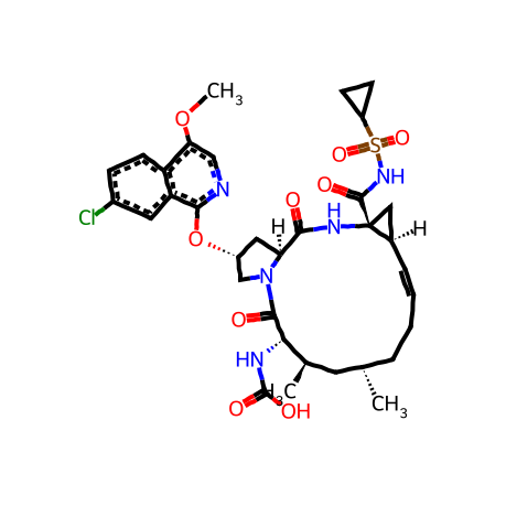 COc1cnc(O[C@@H]2C[C@H]3C(=O)N[C@]4(C(=O)NS(=O)(=O)C5CC5)C[C@H]4C=CCC[C@H](C)C[C@@H](C)[C@H](NC(=O)O)C(=O)N3C2)c2cc(Cl)ccc12